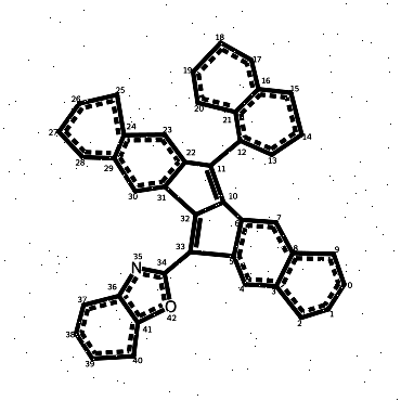 c1ccc2cc3c(cc2c1)C1=C(c2cccc4ccccc24)c2cc4ccccc4cc2C1=C3c1nc2ccccc2o1